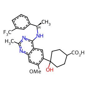 COc1cc2nc(C)nc(N[C@H](C)c3cccc(C(F)(F)F)c3)c2cc1C1(O)CCC(C(=O)O)CC1